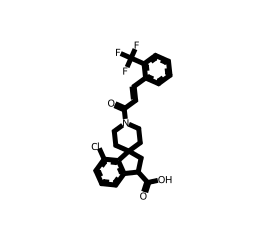 O=C(O)C1CC2(CCN(C(=O)/C=C/c3ccccc3C(F)(F)F)CC2)c2c(Cl)cccc21